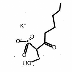 CCCCCC(=O)C(CO)S(=O)(=O)[O-].[K+]